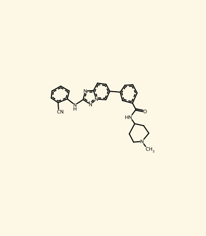 CN1CCC(NC(=O)c2cccc(-c3ccc4nc(Nc5ccccc5C#N)nn4c3)c2)CC1